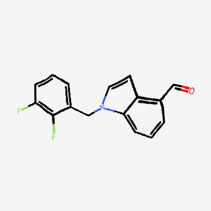 O=Cc1cccc2c1ccn2Cc1cccc(F)c1F